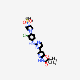 CC1(C)Oc2cc(-c3ccnc(Nc4ccc(N5CC6CC5CN6S(C)(=O)=O)c(Cl)c4)n3)cnc2NC1=O